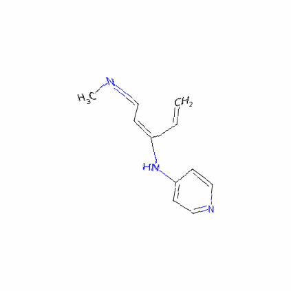 C=C/C(=C\C=N/C)Nc1ccncc1